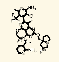 Cc1nc(N)c(Cl)c(-c2nc3c4c(nc(OC[C@@]56CCCN5C[C@H](F)C6)nc4c2F)N([C@H](C)c2cccnc2N)[C@@H](C)CO3)c1C(F)(F)F